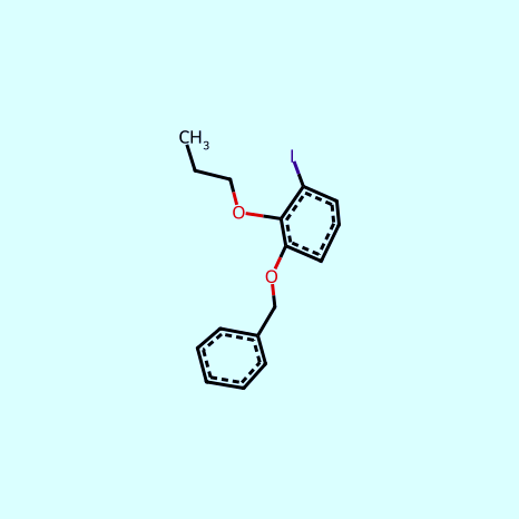 CCCOc1c(I)cccc1OCc1ccccc1